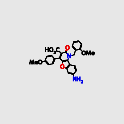 COc1ccc(-c2c(C(=O)O)c(=O)n(Cc3ccccc3OC)c3c2oc2cc(N)ccc23)cc1